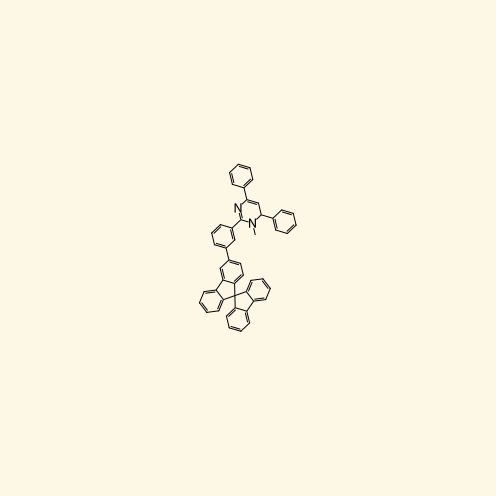 CN1C(c2cccc(-c3ccc4c(c3)-c3ccccc3C43c4ccccc4-c4ccccc43)c2)=NC(c2ccccc2)=CC1c1ccccc1